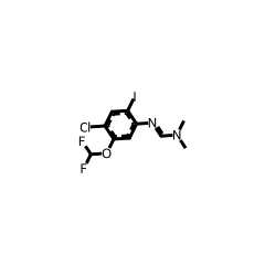 CN(C)/C=N/c1cc(OC(F)F)c(Cl)cc1I